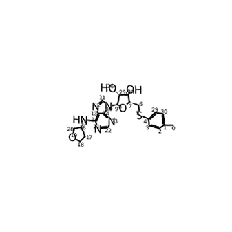 Cc1ccc(SC[C@H]2O[C@@H](n3cnc4c(N[C@@H]5CCOC5)ncnc43)[C@H](O)[C@@H]2O)cc1